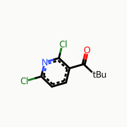 CC(C)(C)C(=O)c1ccc(Cl)nc1Cl